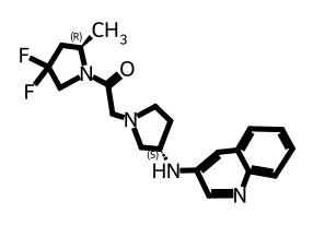 C[C@@H]1CC(F)(F)CN1C(=O)CN1CC[C@H](Nc2cnc3ccccc3c2)C1